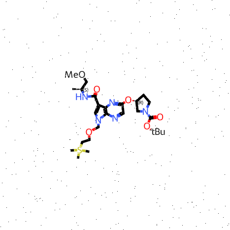 COC[C@H](C)NC(=O)c1cn(COCCS(C)(C)C)c2ncc(O[C@@H]3CCN(C(=O)OC(C)(C)C)C3)nc12